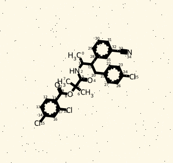 CC(NC(=O)C(C)(C)OC(=O)c1ccc(Cl)cc1Cl)C(Cc1ccc(Cl)cc1)c1cccc(C#N)c1